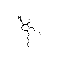 CCCCCc1ccc(C#N)c(=O)n1CCCC